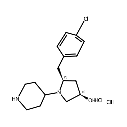 Cl.Cl.O[C@@H]1C[C@H](Cc2ccc(Cl)cc2)N(C2CCNCC2)C1